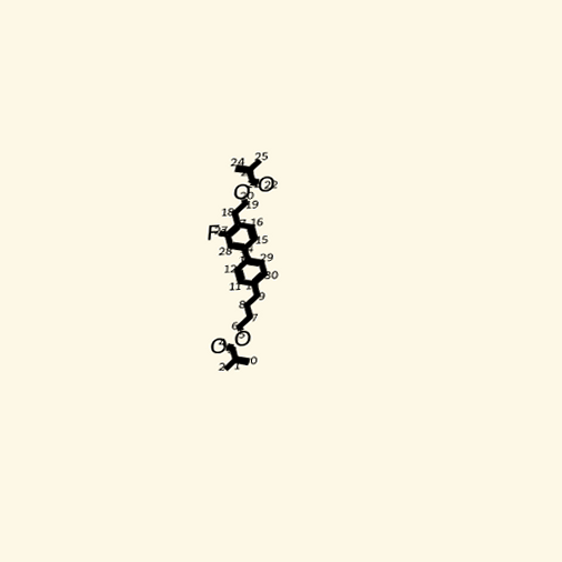 C=C(C)C(=O)OCCCCc1ccc(-c2ccc(CCOC(=O)C(=C)C)c(F)c2)cc1